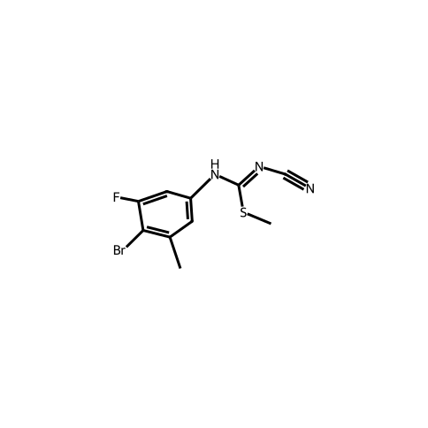 CS/C(=N\C#N)Nc1cc(C)c(Br)c(F)c1